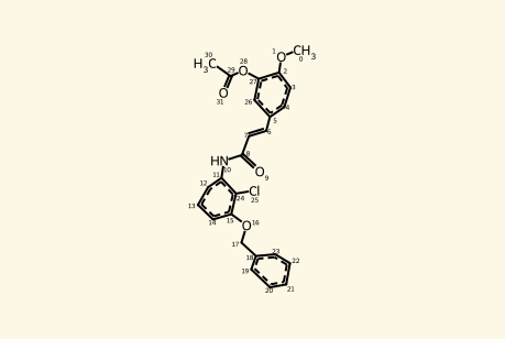 COc1ccc(C=CC(=O)Nc2cccc(OCc3ccccc3)c2Cl)cc1OC(C)=O